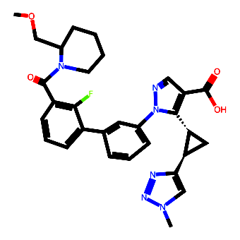 COCC1CCCCN1C(=O)c1cccc(-c2cccc(-n3ncc(C(=O)O)c3[C@@H]3C[C@H]3c3cn(C)nn3)c2)c1F